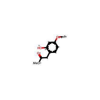 CCCOc1ccc(CC(=O)OC)c(O)c1